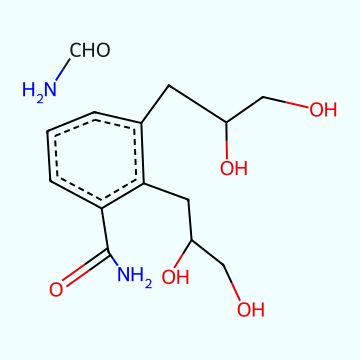 NC(=O)c1cccc(CC(O)CO)c1CC(O)CO.NC=O